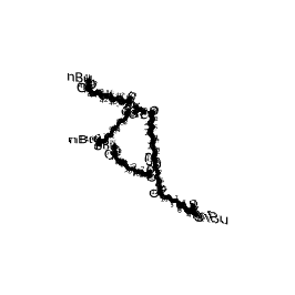 CCCCOC(=O)CCCCCCCC(=O)OCCC(CCOC(=O)CCCCCCCC(=O)OCC(COC(=O)CCCCCCCC(=O)OCCCC)OC(=O)CCCCCCCC(=O)OCCCC)OC(=O)CCCCCCCC(=O)OCCCC